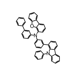 c1ccc(-c2cccc(N(c3cccc(-c4cccc5c6ccccc6n(-c6ccccc6)c45)c3)c3cccc4c3oc3ccccc34)c2)cc1